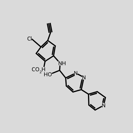 C#Cc1cc(NC(O)c2ccc(-c3ccncc3)nn2)c(C(=O)O)cc1Cl